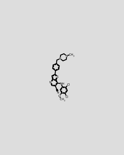 COc1cc(Nc2c(C#N)cnc3cc(-c4ccc(CN5CCN(C)CC5)cc4)sc23)c(Cl)cc1Cl